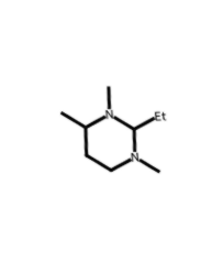 CCC1N(C)CCC(C)N1C